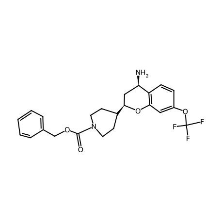 N[C@@H]1C[C@H](C2CCN(C(=O)OCc3ccccc3)CC2)Oc2cc(OC(F)(F)F)ccc21